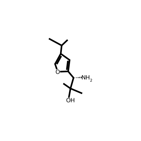 CC(C)c1coc([C@H](N)C(C)(C)O)c1